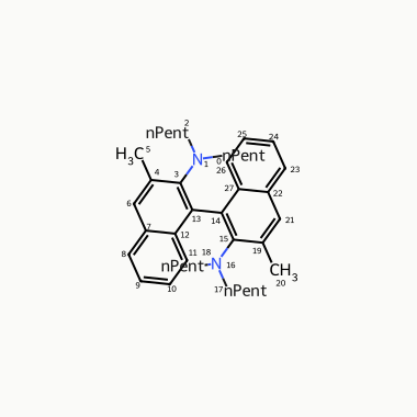 CCCCCN(CCCCC)c1c(C)cc2ccccc2c1-c1c(N(CCCCC)CCCCC)c(C)cc2ccccc12